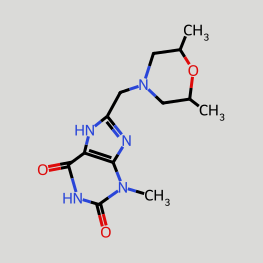 CC1CN(Cc2nc3c([nH]2)c(=O)[nH]c(=O)n3C)CC(C)O1